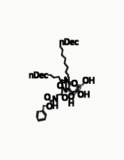 CCCCCCCCCCCCCCCCCCN(C(=O)CCCCCCCCCCCCC)[C@@H]1O[C@H](CO)[C@H](O)[C@H](O)[C@H]1NC(=O)CNC(=O)OCc1ccccc1